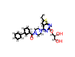 CCc1cc2c(N3CCN(C(=O)c4cccc(-c5ccccc5)c4)CC3)nc(OC[C@H](O)CO)nc2s1